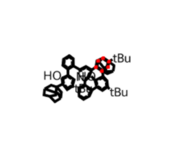 CC(C)(C)c1ccc(-c2cc(-c3ccccc3-c3cc(C(C)(C)C)cc(C45CC6CC(CC(C6)C4)C5)c3O)nc(-c3ccccc3-c3cc(C(C)(C)C)cc(C45CC6CC(CC(C6)C4)C5)c3O)c2)cc1